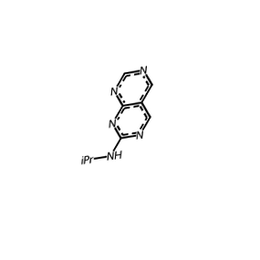 CC(C)Nc1ncc2cncnc2n1